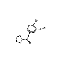 COc1cc(C(=O)N2CCCC2)ccc1Br